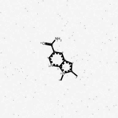 Cc1cc2cc(C(N)=O)cnc2n1C